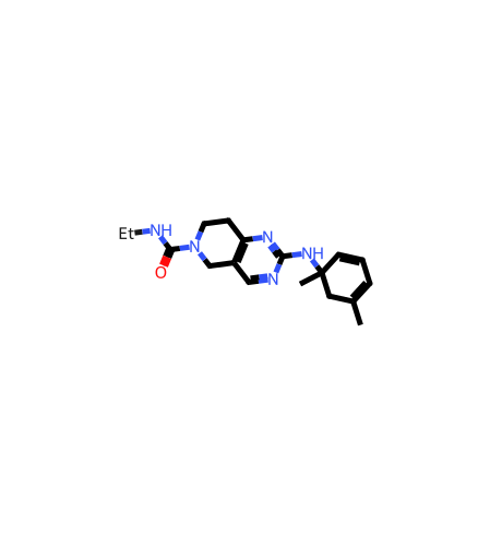 CCNC(=O)N1CCc2nc(NC3(C)C=CC=C(C)C3)ncc2C1